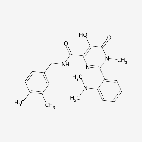 Cc1ccc(CNC(=O)c2nc(-c3ccccc3N(C)C)n(C)c(=O)c2O)cc1C